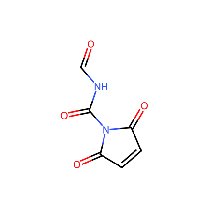 O=CNC(=O)N1C(=O)C=CC1=O